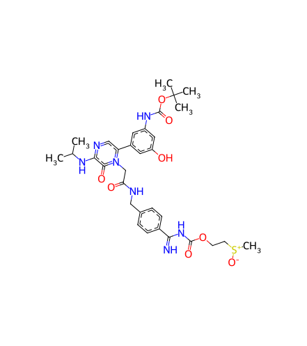 CC(C)Nc1ncc(-c2cc(O)cc(NC(=O)OC(C)(C)C)c2)n(CC(=O)NCc2ccc(C(=N)NC(=O)OCC[S+](C)[O-])cc2)c1=O